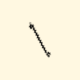 C[n+]1ccn(CCCCCCCCCCCCCCCCCCCCn2cc[n+](C)c2)c1